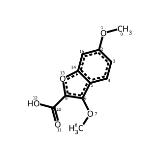 COc1ccc2c(OC)c(C(=O)O)oc2c1